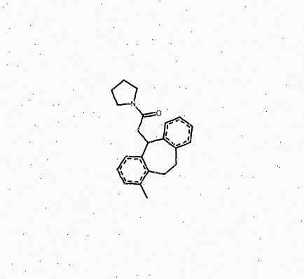 Cc1cccc2c1CCc1ccccc1C2CC(=O)N1CCCC1